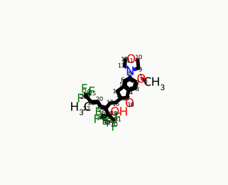 COc1cc2c(cc1N1CCOCC1)CC(CC/C(=C\C=C(/C)C(F)(F)F)C(O)(C(F)(F)F)C(F)(F)F)C2=O